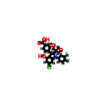 COCC1(c2c(-c3ccc(C(=O)O)cc3)c3c(O)cc(Cl)cc3n2-c2ccc(F)c(F)c2)COC1